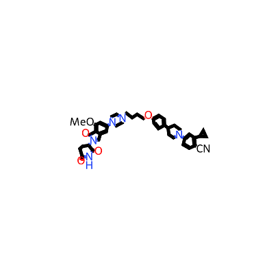 COc1cc(N2CCN(CCCCOc3ccc(C4CCN(c5ccc(C#N)c(C6CC6)c5)CC4)cc3)CC2)cc2c1C(=O)N(C1CCC(=O)NC1=O)C2